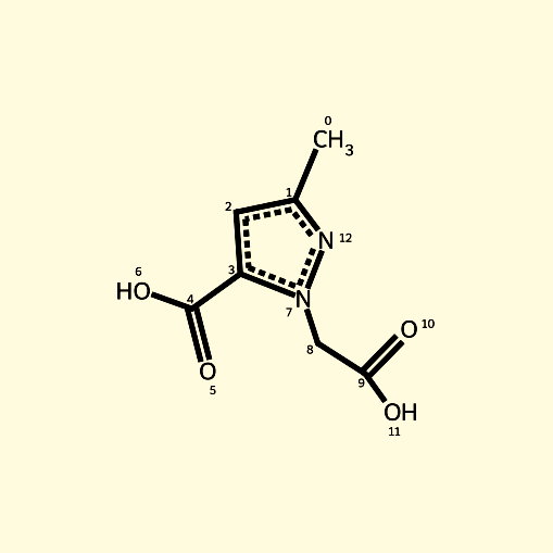 Cc1cc(C(=O)O)n(CC(=O)O)n1